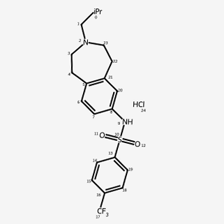 CC(C)CN1CCc2ccc(NS(=O)(=O)c3ccc(C(F)(F)F)cc3)cc2CC1.Cl